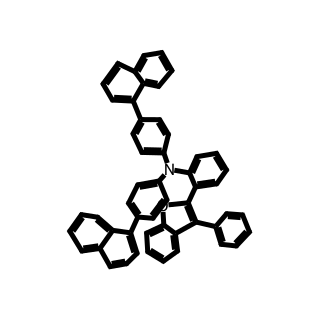 c1ccc(-c2c(-c3ccccc3N(c3ccc(-c4cccc5ccccc45)cc3)c3ccc(-c4cccc5ccccc45)cc3)oc3ccccc23)cc1